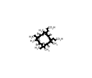 C=CC1=C(C)c2nc1c(Br)c1[nH]c(c(Br)c3nc(c(Br)c4[nH]c(c(C)c4CCC(=O)O)c2Br)C(CCC(=O)O)=C3C)c(C=C)c1C